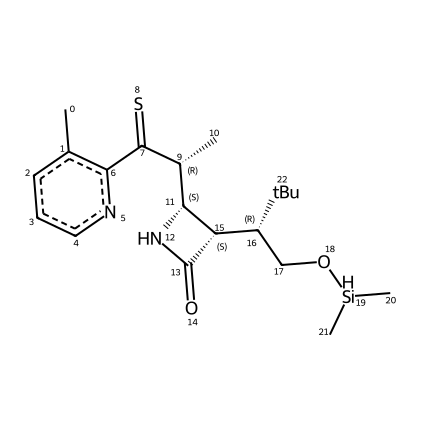 Cc1cccnc1C(=S)[C@H](C)[C@H]1NC(=O)[C@H]1[C@@H](CO[SiH](C)C)C(C)(C)C